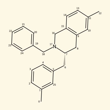 Cc1cccc(C[C@H]2Cc3cc(C)ccc3CN2Cc2ccccc2)c1